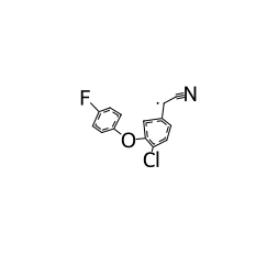 N#C[CH]c1ccc(Cl)c(Oc2ccc(F)cc2)c1